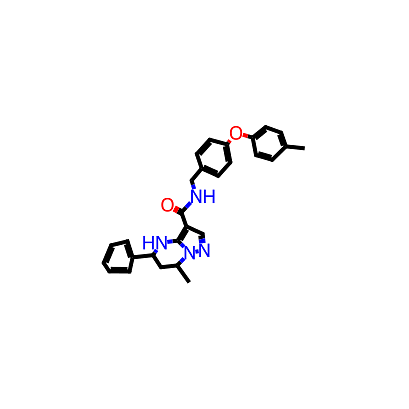 Cc1ccc(Oc2ccc(CNC(=O)c3cnn4c3NC(c3ccccc3)CC4C)cc2)cc1